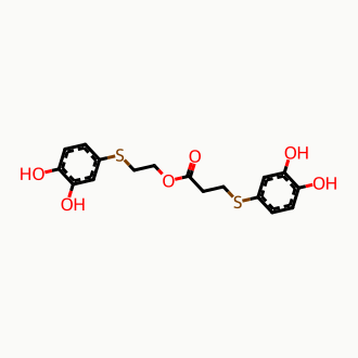 O=C(CCSc1ccc(O)c(O)c1)OCCSc1ccc(O)c(O)c1